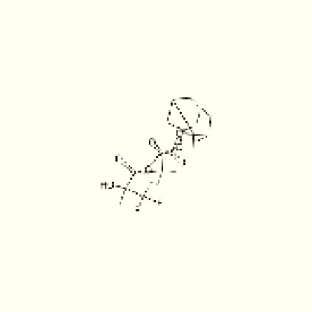 CC(C)(C)C(=O)OC12CC3CC(C1)C(C)(OC(=O)COC(=O)C(C)(O)C(F)(F)F)C(C3)C2